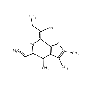 C=CC1N/C(=C(/S)CC)c2sc(C)c(C)c2C1C